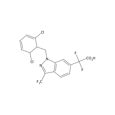 O=C(O)C(F)(F)c1ccc2c(C(F)(F)F)nn(CC3C(Cl)=CC=CC3Cl)c2c1